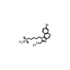 CCOCc1nc2cnc3cc(Br)ccc3c2n1CCCCCS(N)(=O)=O